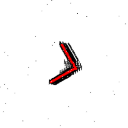 O=S(O)O.O=S(O)O.O=S(O)O.O=S(O)O.O=S(O)O.O=S(O)O.O=S(O)O.O=S(O)O.[Na+].[Na+].[Na+].[Na+].[Na+].[Na+].[Na+].[Na+].[Na+].[Na+].[Na+].[Na+].[Na+].[Na+].[Na+].[Na+].[Na+].[Na+].[Na+].[Na+].[Na+].[Na+].[Na+].[Na+].[Na+].[Na+].[Na+].[Na+].[Na+].[Na+].[Na+].[Na+].[Na+].[Na+].[Na+].[Na+].[Na+].[Na+].[Na+].[Na+].[Na+].[Na+].[Na+].[Na+].[Na+].[Na+].[Na+].[Na+].[Na+].[Na+].[Na+].[Na+].[Na+].[Na+].[Na+].[Na+]